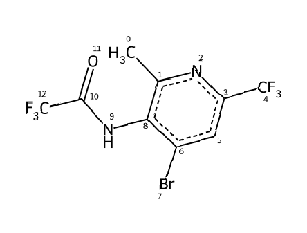 Cc1nc(C(F)(F)F)cc(Br)c1NC(=O)C(F)(F)F